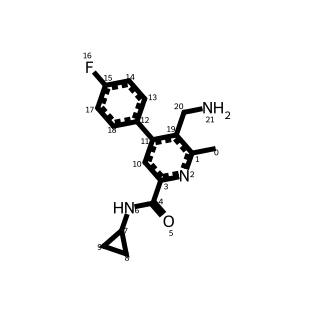 Cc1nc(C(=O)NC2CC2)cc(-c2ccc(F)cc2)c1CN